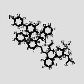 C=CC1C(CCc2ccc3c(sc4ccccc43)c2-c2n(-c3c(C)cc(-c4ccc(F)cc4)cc3C)c3ccccc3[n+]2C)c2ccccc2-c2cc(CC(C)C)c([Si](C)(C)C)c[n+]21